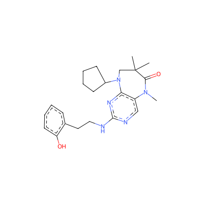 CN1C(=O)C(C)(C)CN(C2CCCC2)c2nc(NCCc3ccccc3O)ncc21